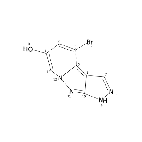 Oc1cc(Br)c2c3cn[nH]c3nn2c1